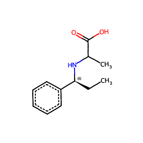 CC[C@H](NC(C)C(=O)O)c1ccccc1